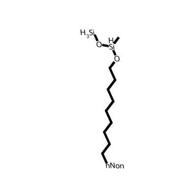 CCCCCCCCCCCCCCCCCCO[SiH](C)O[SiH3]